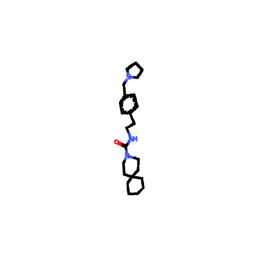 O=C(NCCc1ccc(CN2CCCC2)cc1)N1CCC2(CCCCC2)CC1